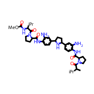 COC(=O)NC(C(=O)N1CCCC1C(=O)Nc1ccc(C2CCC(c3ccc(NC(=O)C4CCCN4C(=O)C(C)C(C)C)c(N)c3)N2)cc1N)C(C)C